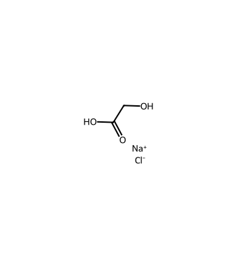 O=C(O)CO.[Cl-].[Na+]